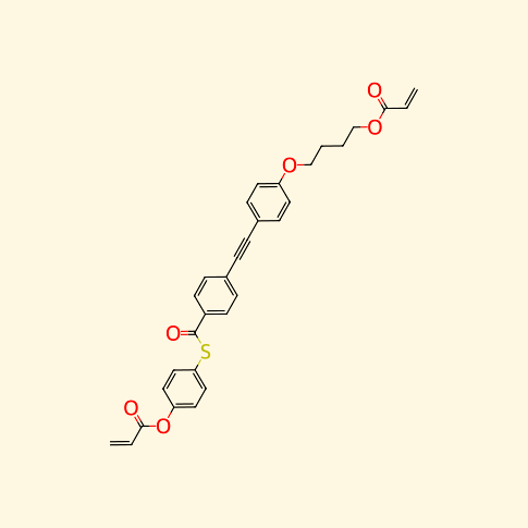 C=CC(=O)OCCCCOc1ccc(C#Cc2ccc(C(=O)Sc3ccc(OC(=O)C=C)cc3)cc2)cc1